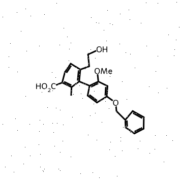 COc1cc(OCc2ccccc2)ccc1-c1c(CCO)ccc(C(=O)O)c1C